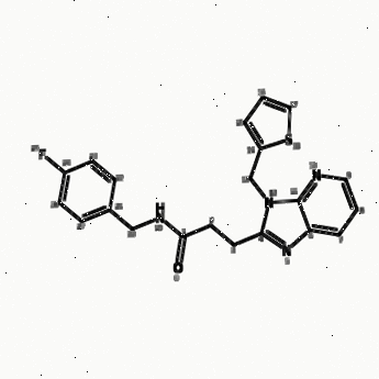 O=C(CCc1nc2cccnc2n1Cc1cccs1)NCc1ccc(F)cc1